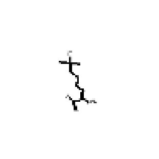 C=C(F)/C(N)=C\CCCC(C)(C)F